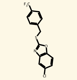 FC(F)(F)c1ccc(CSc2nc3cc(Cl)ccc3o2)cc1